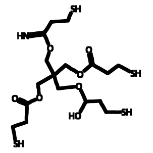 N=C(CCS)OCC(COC(=O)CCS)(COC(=O)CCS)COC(O)CCS